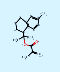 C=C(C)C(=O)OC(C)(C)C1CCCc2cc(C(F)(F)F)ccc21